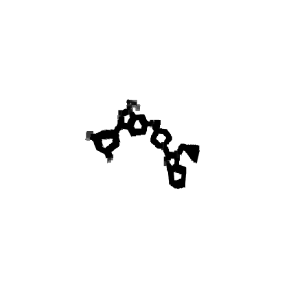 Cn1nc(-c2cc(F)cc(F)c2)c2ccc(NC3CCN(c4nc5ccccc5n4CC4CC4)CC3)cc21